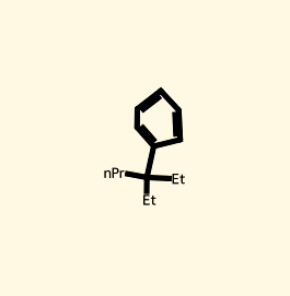 [CH2]CCC(C[CH2])(CC)c1ccccc1